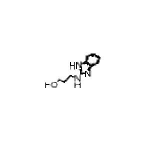 OCCCNc1nc2ccccc2[nH]1